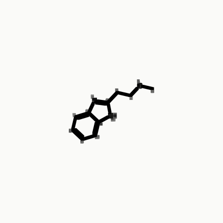 COCCc1nc2ccccc2[nH]1